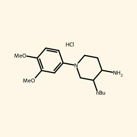 CCCCC1CN(c2ccc(OC)c(OC)c2)CCC1N.Cl